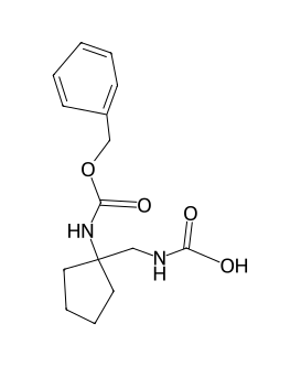 O=C(O)NCC1(NC(=O)OCc2ccccc2)CCCC1